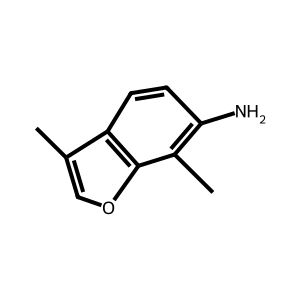 Cc1coc2c(C)c(N)ccc12